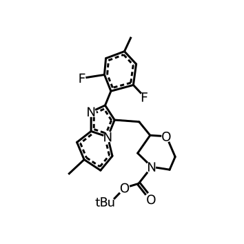 Cc1cc(F)c(-c2nc3cc(C)ccn3c2CC2CN(C(=O)OC(C)(C)C)CCO2)c(F)c1